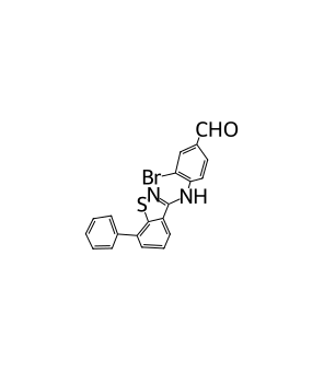 O=Cc1ccc(Nc2nsc3c(-c4ccccc4)cccc23)c(Br)c1